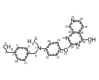 CCc1ccc(CN(C)c2ccc(Oc3nc(O)c4ccncc4n3)cc2)cc1